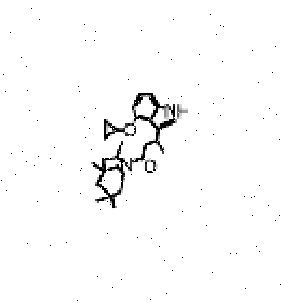 CC(CC(=O)N1C(C)CC2(C)CC1CC(C)(C)C2)c1c[nH]c2cccc(OC3CC3)c12